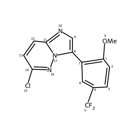 COc1ccc(C(F)(F)F)cc1-c1cnc2ccc(Cl)nn12